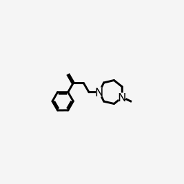 C=C(CCN1CCCN(C)CC1)c1ccccc1